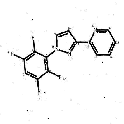 Fc1cc(F)c(F)c(-n2ccc(-c3ccccn3)n2)c1F